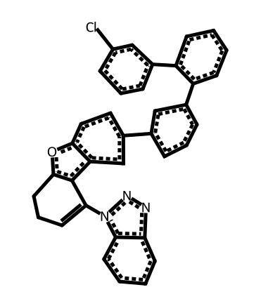 Clc1cccc(-c2ccccc2-c2cccc(-c3ccc4oc5c(c4c3)C(n3nnc4ccccc43)=CCC5)c2)c1